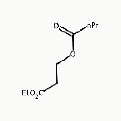 CCCC(=O)OCCC(=O)OCC